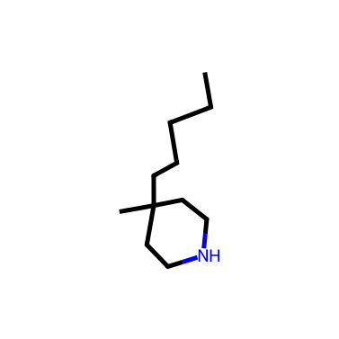 CCCCCC1(C)CCNCC1